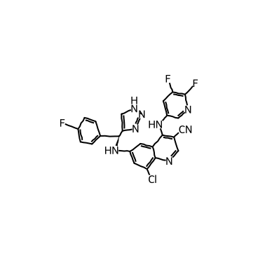 N#Cc1cnc2c(Cl)cc(N[C@@H](c3ccc(F)cc3)c3c[nH]nn3)cc2c1Nc1cnc(F)c(F)c1